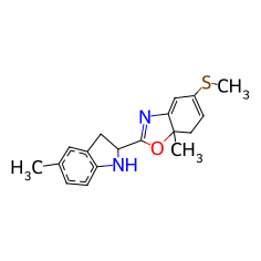 CSC1=CCC2(C)OC(C3Cc4cc(C)ccc4N3)=NC2=C1